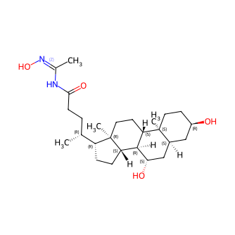 C/C(=N/O)NC(=O)CC[C@@H](C)[C@H]1CC[C@H]2[C@@H]3[C@@H](O)C[C@@H]4C[C@H](O)CC[C@]4(C)[C@H]3CC[C@]12C